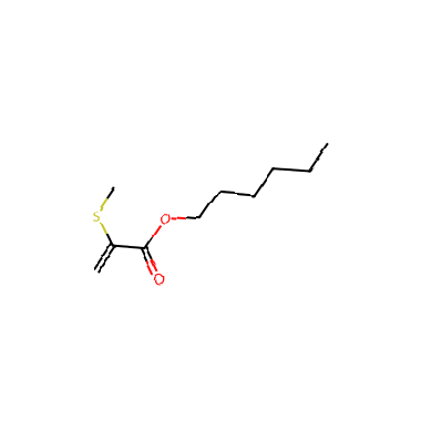 C=C(SC)C(=O)OCCCCCC